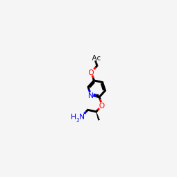 CC(=O)COc1ccc(O[C@@H](C)CN)nc1